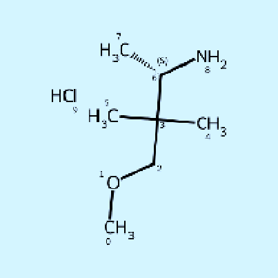 COCC(C)(C)[C@H](C)N.Cl